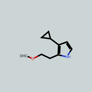 O=COCCc1[nH]ccc1C1CC1